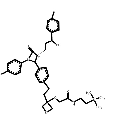 C[N+](C)(C)CCNC(=O)COC1(CCc2ccc(C3[C@@H](CCC(O)c4ccc(F)cc4)C(=O)N3c3ccc(F)cc3)cc2)COC1